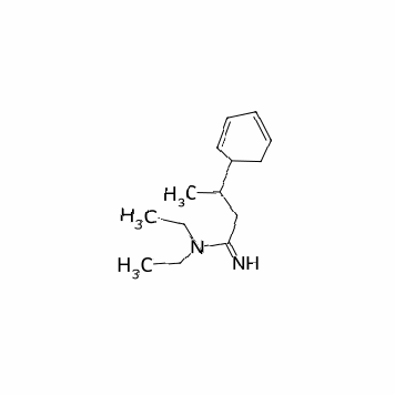 CCN(CC)C(=N)CC(C)C1C=CC=CC1